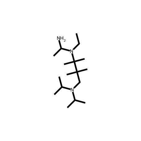 CCN(C(C)N)C(C)(C)C(C)(C)CN(C(C)C)C(C)C